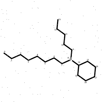 CCCCCCCCP(CCCCC)C1CCCCC1